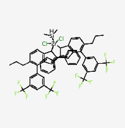 CCCc1ccc2c(c1-c1cc(C(F)(F)F)cc(C(F)(F)F)c1)C=C(c1ccccc1)[CH]2[Zr]([Cl])([Cl])([CH]1C(c2ccccc2)=Cc2c1ccc(CCC)c2-c1cc(C(F)(F)F)cc(C(F)(F)F)c1)[SiH](C)C